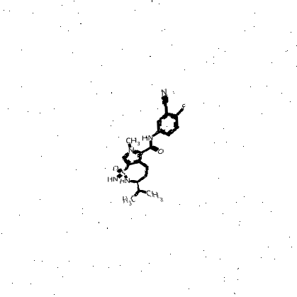 CC(C)[C@@H]1CCc2c(cn(C)c2C(=O)Nc2ccc(F)c(C#N)c2)S(=N)(=O)N1